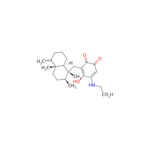 C=C1CCC[C@H]2[C@](C)(CC3=C(O)C(NCC(=O)O)=CC(=O)C3=O)[C@@H](C)CC[C@]12C